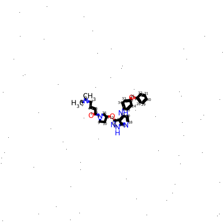 CN(C)C/C=C/C(=O)N1CCC(Oc2n[nH]c3nccc(Nc4ccc(Oc5ccccc5)cc4)c23)C1